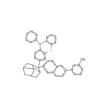 N#Cc1cccc(-c2ccc3cc(C4(c5ccc6c(c5)Sc5ccccc5N6c5ccccc5)C5CC6CC(C5)CC4C6)ccc3c2)c1